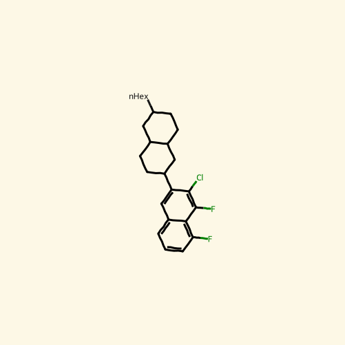 CCCCCCC1CCC2CC(c3cc4cccc(F)c4c(F)c3Cl)CCC2C1